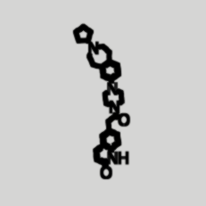 O=C(Cc1ccc2[nH]c(=O)ccc2c1)N1CCN(c2ccc3c(c2)CCN(C2CCCC2)CC3)CC1